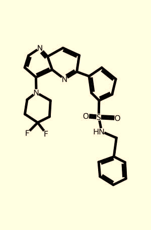 O=S(=O)(NCc1ccccc1)c1cccc(-c2ccc3nccc(N4CCC(F)(F)CC4)c3n2)c1